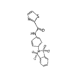 O=C(Nc1ccc(N2S(=O)(=O)c3ccccc3S2(=O)=O)cc1)c1nccs1